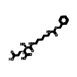 O=C(O)CC[C@@H](C(=O)O)N(O)C(=O)NCCCCCNC(=O)OCc1ccccc1